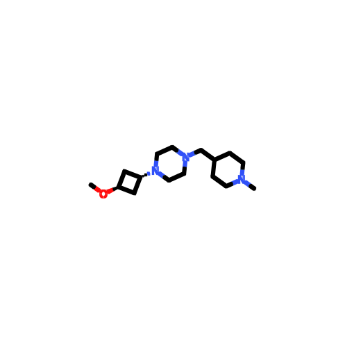 CO[C@H]1C[C@H](N2CCN(CC3CCN(C)CC3)CC2)C1